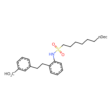 CCCCCCCCCCCCCCCCS(=O)(=O)Nc1ccccc1CCc1cccc(C(=O)O)c1